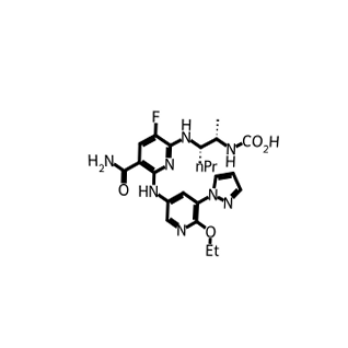 CCC[C@H](Nc1nc(Nc2cnc(OCC)c(-n3cccn3)c2)c(C(N)=O)cc1F)[C@H](C)NC(=O)O